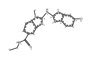 CCNC(=O)c1ccc2c(c1)nc(Nc1nc3ccc(Cl)cc3s1)n2C